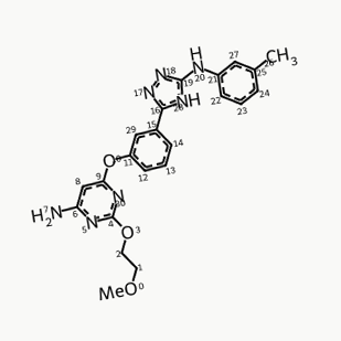 COCCOc1nc(N)cc(Oc2cccc(-c3nnc(Nc4cccc(C)c4)[nH]3)c2)n1